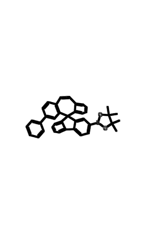 CC1(C)OB(c2ccc3c(c2)C2(c4ccccc4C=Cc4ccc(-c5ccccc5)cc42)c2ccccc2-3)OC1(C)C